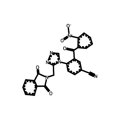 N#Cc1ccc(-n2cnnc2CN2C(=O)c3ccccc3C2=O)c(C(=O)c2ccccc2[N+](=O)[O-])c1